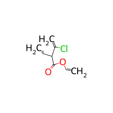 C=COC(=O)C(C=C)C(=C)Cl